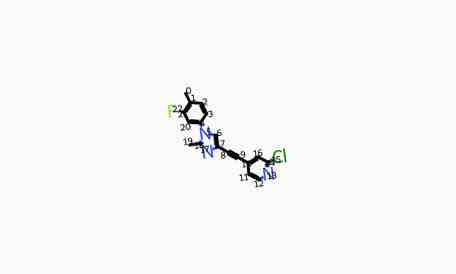 Cc1ccc(-n2cc(C#Cc3ccnc(Cl)c3)nc2C)cc1F